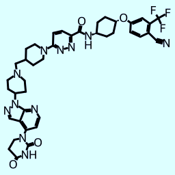 N#Cc1ccc(O[C@H]2CC[C@H](NC(=O)c3ccc(N4CCC(CN5CCC(n6ncc7c(N8CCC(=O)NC8=O)ccnc76)CC5)CC4)nn3)CC2)cc1C(F)(F)F